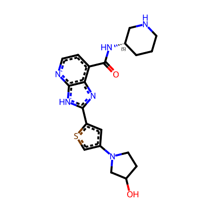 O=C(N[C@H]1CCCNC1)c1ccnc2[nH]c(-c3cc(N4CCC(O)C4)cs3)nc12